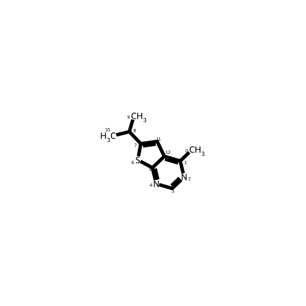 Cc1ncnc2sc(C(C)C)cc12